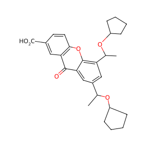 CC(OC1CCCC1)c1cc(C(C)OC2CCCC2)c2oc3ccc(C(=O)O)cc3c(=O)c2c1